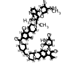 CNc1cc(=O)n(-c2ccnc3c2cc([C@H](C)N2CC=C(c4c(C)cc(C(=O)N5CCC(CN6CCN(Cc7cc8c(cc7F)N(C7CCC(=O)NC7=O)C(=O)C87CC7)CC6)CC5)cc4F)CC2)n3C)cc1F